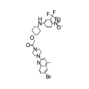 Cc1cc(N2CCN(C(=O)CO[C@H]3CC[C@H](Nc4ccc([N+](=O)[O-])c(C(F)(F)F)c4)CC3)CC2)nc2ccc(Br)cc12